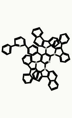 c1ccc(-c2cccc(-c3ccc(-c4c(-n5c6ccccc6c6c7ccccc7ccc65)c(-n5c6ccccc6c6c7ccccc7ccc65)nc(-n5c6ccccc6c6c7ccccc7ccc65)c4-n4c5ccccc5c5c6ccccc6ccc54)cc3)n2)cc1